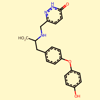 O=C(O)C(Cc1ccc(Oc2ccc(O)cc2)cc1)NCc1ccc(=O)[nH]n1